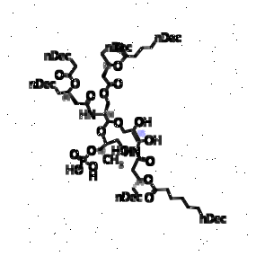 CCCCCCCCCCCCCCCC(=O)O[C@H](CCCCCCCCCCC)CC(=O)N/C(O)=C(/O)COC(OC(CO)[C@H](C)OP(=O)(O)O)[C@H](COC(=O)C[C@@H](CCCCCCCCCCC)OC(=O)CCCCCCCCCCCCC)NC(=O)C[C@@H](CCCCCCCCCCC)OC(=O)CCCCCCCCCCC